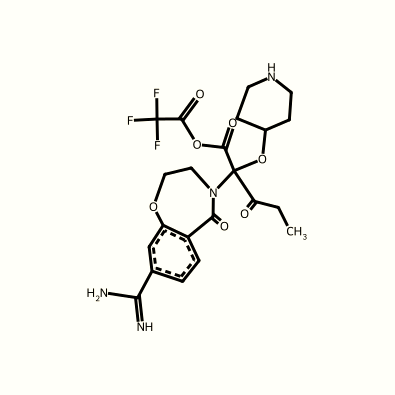 CCC(=O)C(OC1CCNCC1)(C(=O)OC(=O)C(F)(F)F)N1CCOc2cc(C(=N)N)ccc2C1=O